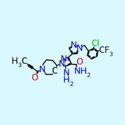 CC#CC(=O)N1CCCC(n2nc(-c3cnn(Cc4cccc(C(F)(F)F)c4Cl)c3)c(C(N)=O)c2N)CCC1